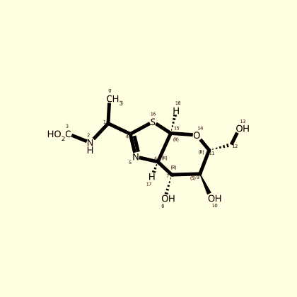 CC(NC(=O)O)C1=N[C@@H]2[C@@H](O)[C@H](O)[C@@H](CO)O[C@@H]2S1